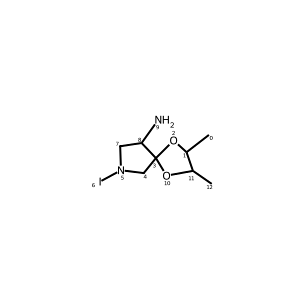 CC1OC2(CN(I)CC2N)OC1C